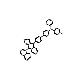 Fc1ccc(N(c2ccc(-c3ccc(-c4c5ccccc5c(-c5cccc6ccccc56)c5ccccc45)cc3)cc2)c2ccccn2)cc1